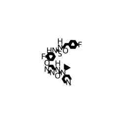 CN1CCC(N(C(=O)Nc2cc(Oc3ccc(NC(=S)NC(=O)Cc4ccc(F)cc4)cc3F)ncn2)C2CC2)CC1